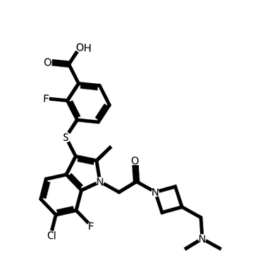 Cc1c(Sc2cccc(C(=O)O)c2F)c2ccc(Cl)c(F)c2n1CC(=O)N1CC(CN(C)C)C1